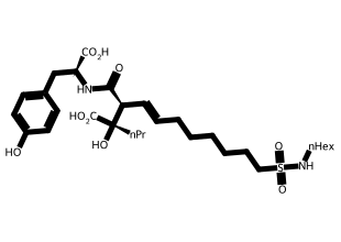 CCCCCCNS(=O)(=O)CCCCCC/C=C/[C@H](C(=O)N[C@@H](Cc1ccc(O)cc1)C(=O)O)[C@@](O)(CCC)C(=O)O